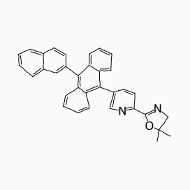 CC1(C)CN=C(c2ccc(-c3c4ccccc4c(-c4ccc5ccccc5c4)c4ccccc34)cn2)O1